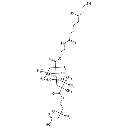 CC(C)(C)CC(C)(C(=O)OCCNC(=O)CCCCC(S)CCS)C(C)(C)C(C)(C)CC(C)(C(=O)OCC[N+](C)(C)CC(=O)O)C(C)(C)C